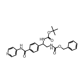 CC(C)(C)OC(=O)NC(CNC(=O)OCc1ccccc1)c1ccc(C(=O)Nc2ccncc2)cc1